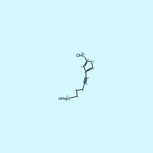 CCCCCCCCCCC#Cc1csc(C=O)c1